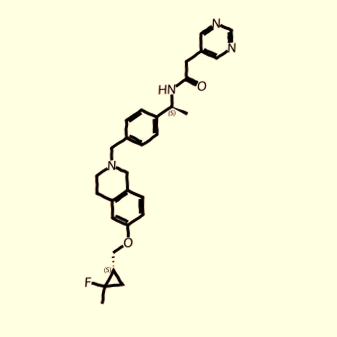 C[C@H](NC(=O)Cc1cncnc1)c1ccc(CN2CCc3cc(OC[C@@H]4CC4(C)F)ccc3C2)cc1